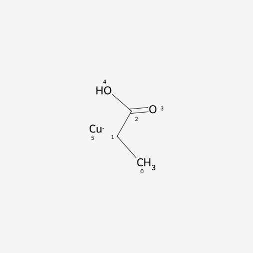 CCC(=O)O.[Cu]